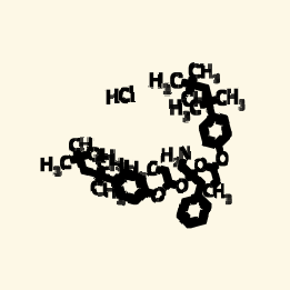 CCC(Oc1ccc(C(C)(C)CC(C)(C)C)cc1)OC(CN)(Cc1ccccc1)OC(CC)Oc1ccc(C(C)(C)CC(C)(C)C)cc1.Cl